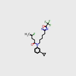 C=C(F)CCC(=O)N(CCCCCc1noc(C(F)(F)F)n1)c1cccc(C2CC2)c1